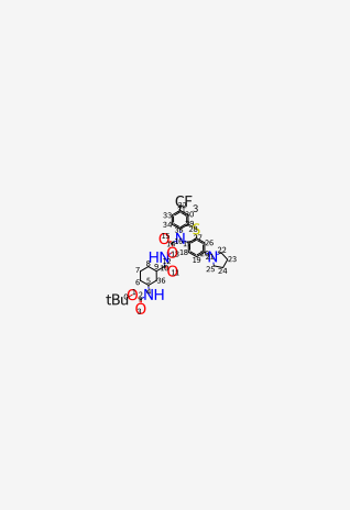 CC(C)(C)OC(=O)NC1CCCC(C(=O)NOC(=O)N2c3ccc(N4CCCC4)cc3Sc3cc(C(F)(F)F)ccc32)C1